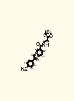 CC(C)(C)OC(=O)CCNC(=O)c1ccc2nc(-c3ccc(C#N)cc3)cn2c1